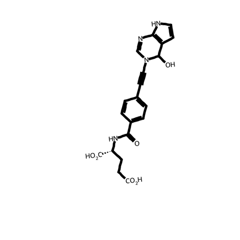 O=C(O)CC[C@@H](NC(=O)c1ccc(C#CN2C=Nc3[nH]ccc3C2O)cc1)C(=O)O